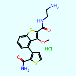 COc1c(C(=O)NCCN)sc2cccc(-c3ccsc3C(N)=O)c12.Cl